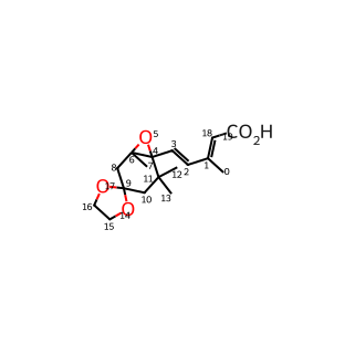 CC(C=CC12OC1(C)CC1(CC2(C)C)OCCO1)=CC(=O)O